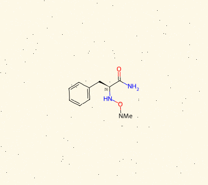 CNON[C@@H](Cc1ccccc1)C(N)=O